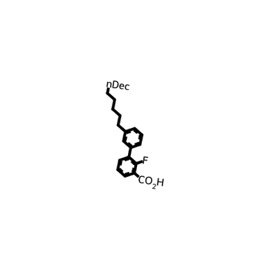 CCCCCCCCCCCCCCCc1cccc(-c2cccc(C(=O)O)c2F)c1